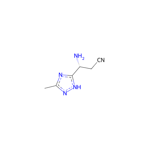 Cc1n[nH]c([C@H](N)CC#N)n1